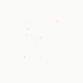 O=C(O)c1ccc(CCN2C(=O)OCC[C@@H]2/C=C/[C@@H](O)C(F)(F)c2cc(Cl)cc(Cl)c2)cc1